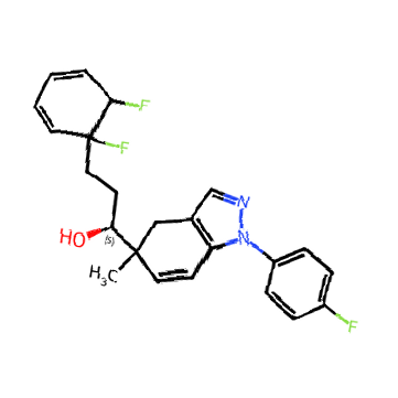 CC1([C@@H](O)CCC2(F)C=CC=CC2F)C=Cc2c(cnn2-c2ccc(F)cc2)C1